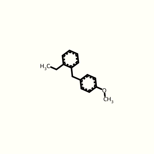 CCc1ccccc1Cc1ccc(OC)cc1